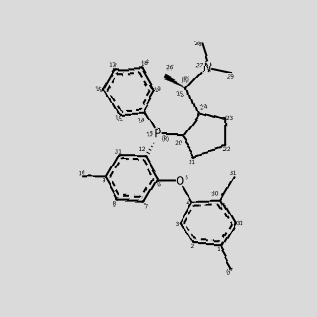 Cc1ccc(Oc2ccc(C)cc2[P@](c2ccccc2)C2CCCC2[C@@H](C)N(C)C)c(C)c1